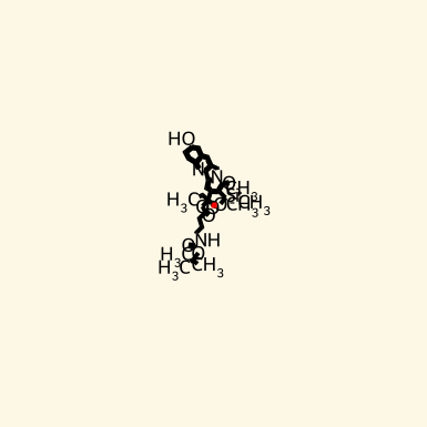 CCC1(OC(=O)CCCNC(=O)OC(C)(C)C)C(=O)OC([Si](C)(C)CC)c2c1cc1n(c2=O)Cc2cc3cc(O)ccc3nc2-1